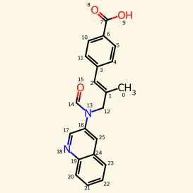 CC(=Cc1ccc(C(=O)O)cc1)CN(C=O)c1cnc2ccccc2c1